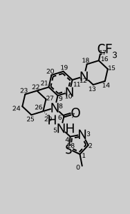 Cc1cnc(NC(=O)N2c3nc(N4CCCC(C(F)(F)F)C4)ccc3C3CCC[C@H]2C3)s1